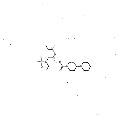 CC[C@H](C)O[C@H](COC(=O)N1CCC(N2CCCCC2)CC1)CN(CC)S(C)(=O)=O